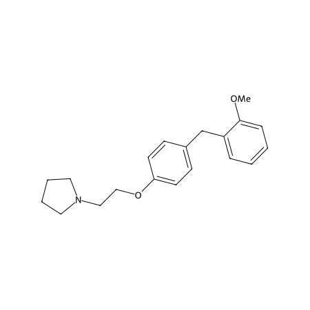 COc1ccccc1Cc1ccc(OCCN2CCCC2)cc1